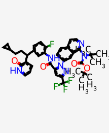 CC(C)(C)OC(=O)N(c1nccc2ccc(-n3nc(C(F)(F)F)cc3C(=O)Nc3cc(C(CCC4CC4)c4ccc[nH]c4=O)ccc3F)cc12)C(C)(C)C